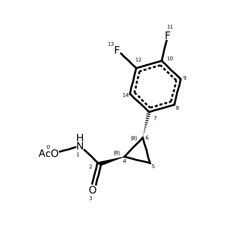 CC(=O)ONC(=O)[C@@H]1C[C@H]1c1ccc(F)c(F)c1